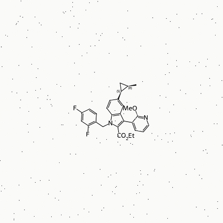 CCOC(=O)c1c(-c2cccnc2OC)c2cc([C@H]3C[C@H]3C)ccc2n1Cc1ccc(F)cc1F